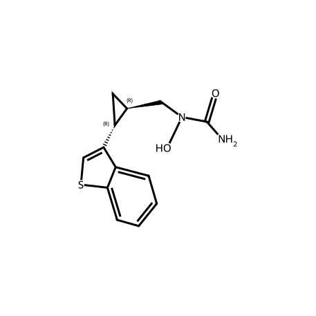 NC(=O)N(O)C[C@@H]1C[C@H]1c1csc2ccccc12